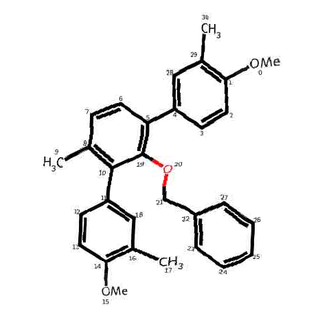 COc1ccc(-c2c[c]c(C)c(-c3ccc(OC)c(C)c3)c2OCc2ccccc2)cc1C